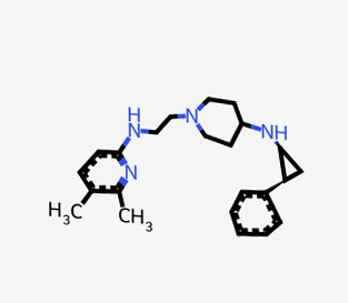 Cc1ccc(NCCN2CCC(N[C@@H]3C[C@H]3c3ccccc3)CC2)nc1C